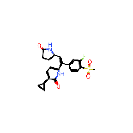 CS(=O)(=O)c1ccc(C(=C[C@H]2CCC(=O)N2)c2ccc(C3CC3)c(=O)[nH]2)cc1F